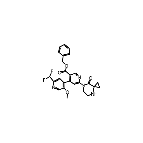 COc1cnc(C(F)F)cc1-c1cc(N2CCNC3(CC3)C2=O)ncc1C(=O)OCc1ccccc1